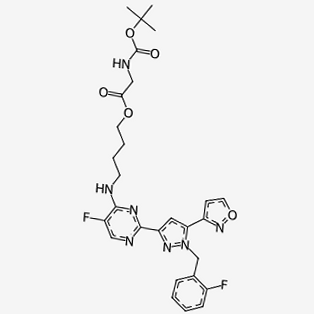 CC(C)(C)OC(=O)NCC(=O)OCCCCNc1nc(-c2cc(-c3ccon3)n(Cc3ccccc3F)n2)ncc1F